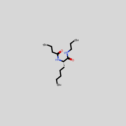 CC(C)(C)CCCC[C@H](NC(=O)CCC(C)(C)C)C(=O)NCCC(C)(C)C